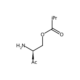 CC(=O)[C@@H](N)COC(=O)C(C)C